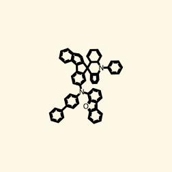 C1=CC2C(C=C1)C1(c3cc(N(c4ccc(-c5ccccc5)cc4)c4cccc5c4oc4ccccc45)ccc3-c3c1ccc1ccccc31)c1ccccc1N2c1ccccc1